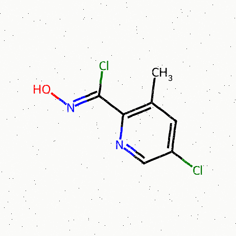 Cc1cc(Cl)cnc1C(Cl)=NO